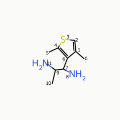 Cc1csc(C)c1C(N)C(C)N